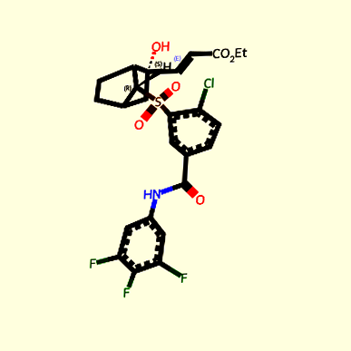 CCOC(=O)/C=C/[C@@]1(O)CC2CCC1[C@@H]2S(=O)(=O)c1cc(C(=O)Nc2cc(F)c(F)c(F)c2)ccc1Cl